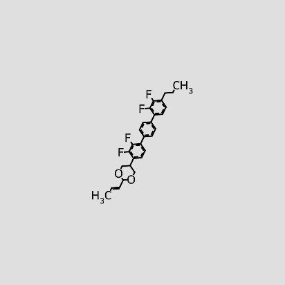 C/C=C/C1OCC(c2ccc(-c3ccc(-c4ccc(CCC)c(F)c4F)cc3)c(F)c2F)CO1